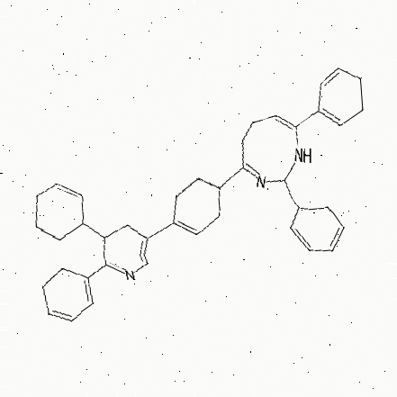 C1=CCCC(C2=NC=C(C3=CCC(/C4=N/C(C5C=CC=CC5)N/C(C5=CCCC=C5)=C\CC4)CC3)CC2C2C=CCCC2)=C1